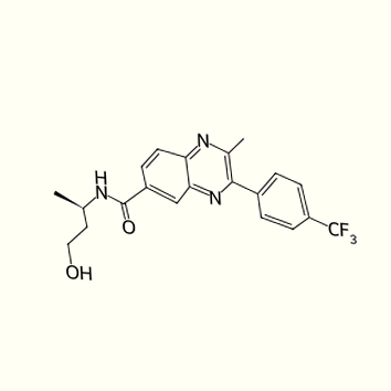 Cc1nc2ccc(C(=O)N[C@H](C)CCO)cc2nc1-c1ccc(C(F)(F)F)cc1